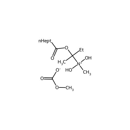 CCCCCCCC(=O)OC(C)(CC)[N+](C)(O)O.COC(=O)[O-]